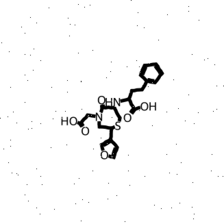 O=C(O)CN1CC(c2ccoc2)SCC(NC(CCc2ccccc2)C(=O)O)C1=O